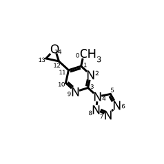 Cc1nc(-n2cnnn2)ncc1C1CO1